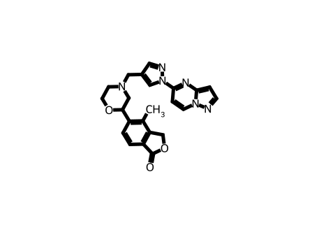 Cc1c(C2CN(Cc3cnn(-c4ccn5nccc5n4)c3)CCO2)ccc2c1COC2=O